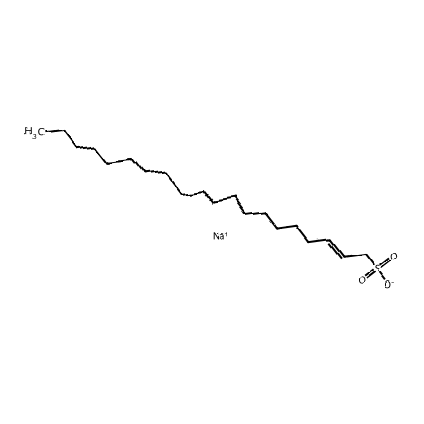 CCCCCCCCCCCCCCCCCC=CCS(=O)(=O)[O-].[Na+]